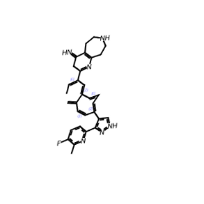 C=C1\C=C/C(c2c[nH]nc2-c2ccc(F)c(C)n2)=C/C=C/C1=C/C(=C\C)C1=NC2=C(CCNCC2)C(=N)C1